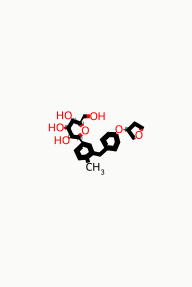 Cc1ccc([C@@H]2O[C@H](CO)[C@@H](O)[C@H](O)[C@H]2O)cc1Cc1ccc(O[C@@H]2CCOC2)cc1